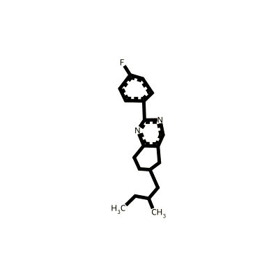 CCC(C)CC1CCc2nc(-c3ccc(F)cc3)ncc2C1